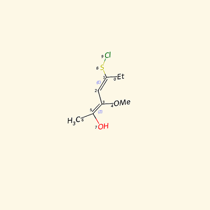 CC/C(=C\C(OC)=C(/C)O)SCl